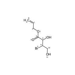 C=CCOC(=O)C(O)C(Br)CO